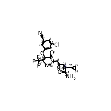 N#Cc1cc(Cl)cc(Oc2c(C(F)(F)F)ncn(CC(=N)/C=C(\C(N)=O)C3CC3)c2=O)c1